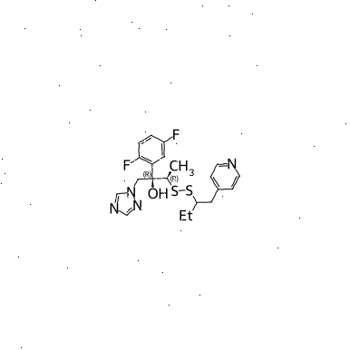 CCC(Cc1ccncc1)SS[C@H](C)[C@](O)(Cn1cncn1)c1cc(F)ccc1F